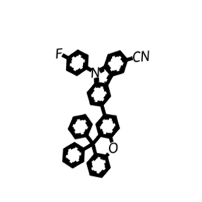 N#Cc1ccc2c(c1)c1cc(-c3ccc4c(c3)C(c3ccccc3)(c3ccccc3)c3ccccc3O4)ccc1n2-c1ccc(F)cc1